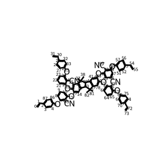 C=Cc1ccc(Oc2cccc(Oc3cc4c(cc3Oc3cccc(Oc5ccc(C=C)cc5)c3C#N)C(C)(C)C3c5cc(Oc6cccc(Oc7ccc(C=C)cc7)c6C#N)c(Oc6cccc(Oc7ccc(C=C)cc7)c6C#N)cc5C(C)(C)C43)c2C#N)cc1